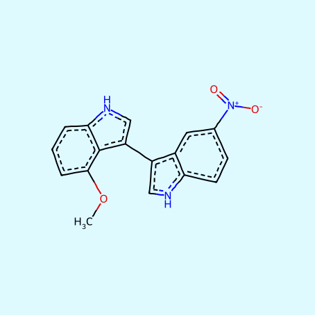 COc1cccc2[nH]cc(-c3c[nH]c4ccc([N+](=O)[O-])cc34)c12